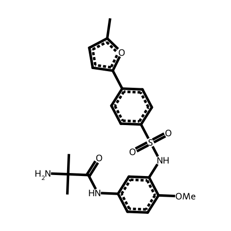 COc1ccc(NC(=O)C(C)(C)N)cc1NS(=O)(=O)c1ccc(-c2ccc(C)o2)cc1